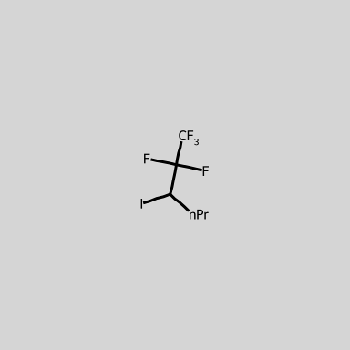 CCCC(I)C(F)(F)C(F)(F)F